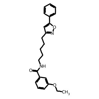 CCOc1cccc(C(=O)NCCCCCc2cc(-c3ccccc3)on2)c1